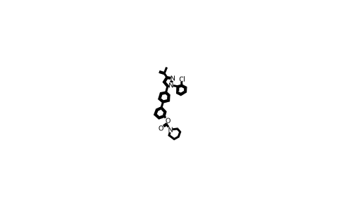 C=C(C)c1cc(-c2ccc(-c3cccc(OC(=O)N4CCCCC4)c3)cc2)n(-c2ccccc2Cl)n1